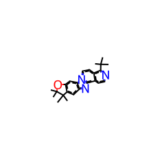 CC(C)(C)c1nccc2c1ccn1c3cc4c(cc3nc21)C(C)(C)C(C)(C)O4